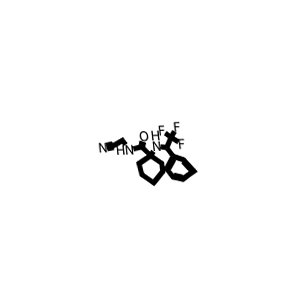 N#CCNC(=O)C1(NC(c2ccccc2)C(F)(F)F)CCCCC1